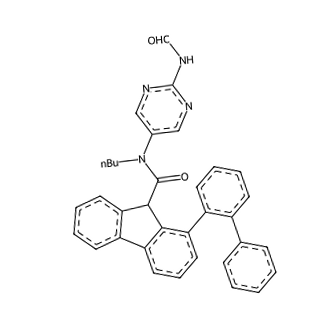 CCCCN(C(=O)C1c2ccccc2-c2cccc(-c3ccccc3-c3ccccc3)c21)c1cnc(NC=O)nc1